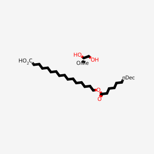 CCCCCCCCCCCCCCCC(=O)OCCCCCCCCCCCCCCCC(=O)O.COC.OCCO